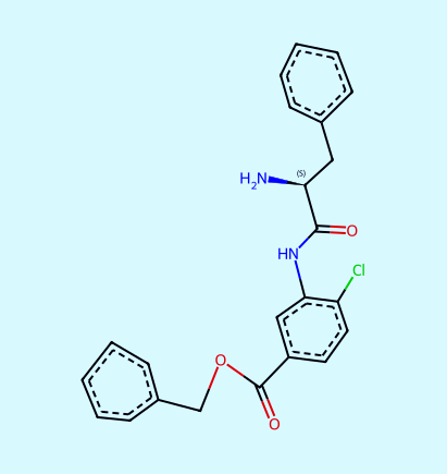 N[C@@H](Cc1ccccc1)C(=O)Nc1cc(C(=O)OCc2ccccc2)ccc1Cl